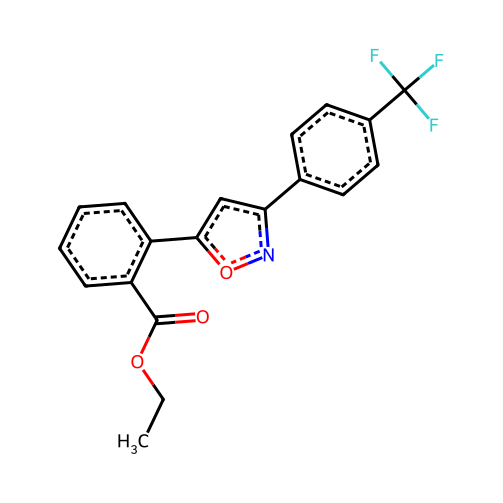 CCOC(=O)c1ccccc1-c1cc(-c2ccc(C(F)(F)F)cc2)no1